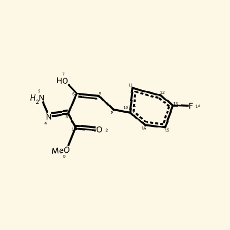 COC(=O)C(=N/N)/C(O)=C\Cc1ccc(F)cc1